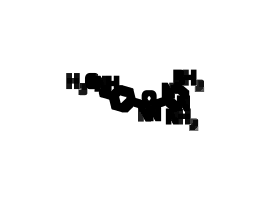 Bc1cnc(N)c(-c2nnc(-c3ccc(CNC)cc3)o2)n1